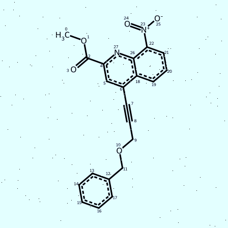 COC(=O)c1cc(C#CCOCc2ccccc2)c2cccc([N+](=O)[O-])c2n1